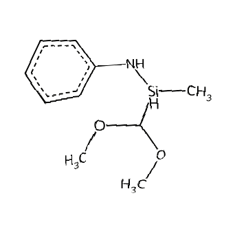 COC(OC)[SiH](C)Nc1ccccc1